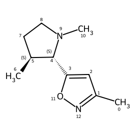 Cc1cc([C@@H]2[C@@H](C)CCN2C)on1